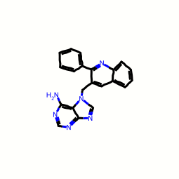 Nc1ncnc2ncn(Cc3cc4ccccc4nc3-c3ccccc3)c12